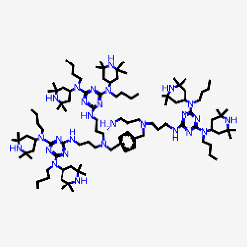 CCCCN(c1nc(NCCCN(CCCN)Cc2ccc(CN(CCCNc3nc(N(CCCC)C4CC(C)(C)NC(C)(C)C4)nc(N(CCCC)C4CC(C)(C)NC(C)(C)C4)n3)CCCNc3nc(N(CCCC)C4CC(C)(C)NC(C)(C)C4)nc(N(CCCC)C4CC(C)(C)NC(C)(C)C4)n3)cc2)nc(N(CCCC)C2CC(C)(C)NC(C)(C)C2)n1)C1CC(C)(C)NC(C)(C)C1